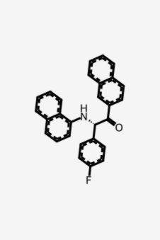 O=C(c1ccc2ccccc2c1)[C@@H](Nc1cccc2ccccc12)c1ccc(F)cc1